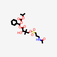 CC(=O)NCCCS(=O)(=O)OCC(C)(C)[C@@H](O)C(=O)OC(OC(=O)OC(C)C)c1ccccc1